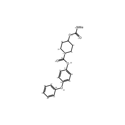 CNC(=O)OC1CCN(C(=O)Oc2ccc(Oc3ccccc3)cc2)CC1